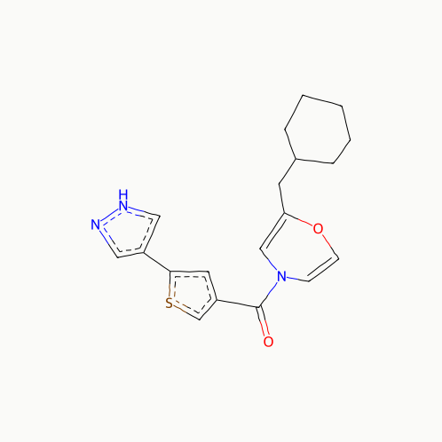 O=C(c1csc(-c2cn[nH]c2)c1)N1C=COC(CC2CCCCC2)=C1